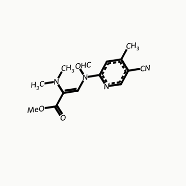 COC(=O)/C(=C/N(C=O)c1cc(C)c(C#N)cn1)N(C)C